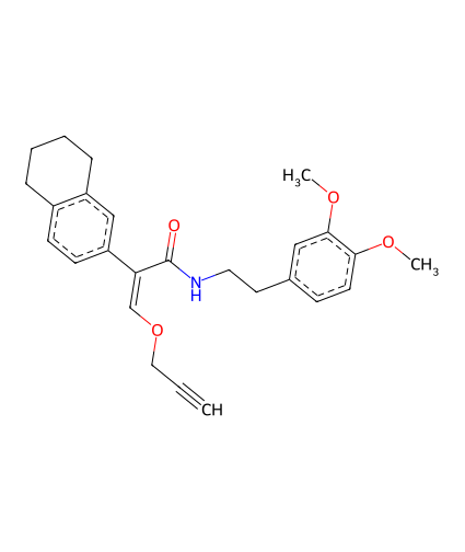 C#CCOC=C(C(=O)NCCc1ccc(OC)c(OC)c1)c1ccc2c(c1)CCCC2